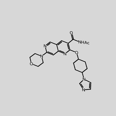 CC(=O)NC(=O)c1cc2cnc(N3CCOCC3)cc2nc1OC1CCC(n2ccnc2)CC1